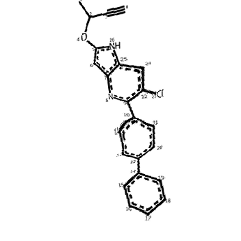 C#CC(C)Oc1cc2nc(-c3ccc(-c4ccccc4)cc3)c(Cl)cc2[nH]1